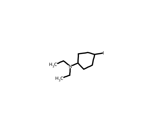 CCN(CC)C1CCC(I)CC1